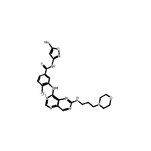 CC(C)(C)c1cc(NC(=O)c2ccc(C(F)(F)F)c(Nc3ncnc4cnc(NCCCN5CCOCC5)nc34)c2)no1